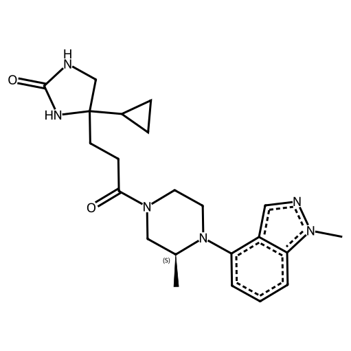 C[C@H]1CN(C(=O)CCC2(C3CC3)CNC(=O)N2)CCN1c1cccc2c1cnn2C